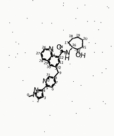 Cn1ccc(-c2ccc(Cc3cc(C(=O)N[C@H]4CCCCC[C@@H]4O)c4ncccc4c3)cn2)n1